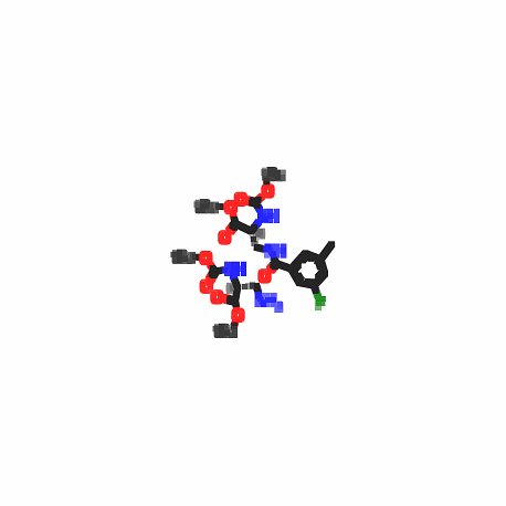 CC(C)(C)OC(=O)N[C@H](CN)C(=O)OC(C)(C)C.Cc1cc(F)cc(C(=O)NC[C@@H](NC(=O)OC(C)(C)C)C(=O)OC(C)(C)C)c1